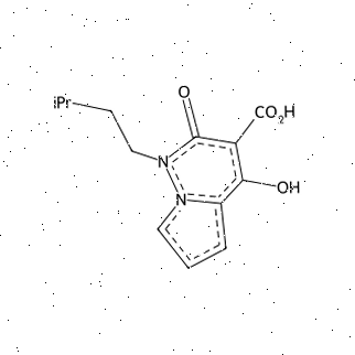 CC(C)CCn1c(=O)c(C(=O)O)c(O)c2cccn21